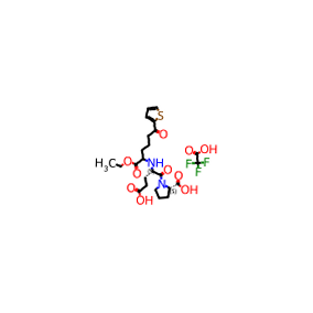 CCOC(=O)C(CCCC(=O)c1cccs1)N[C@@H](CCC(=O)O)C(=O)N1CCC[C@H]1C(=O)O.O=C(O)C(F)(F)F